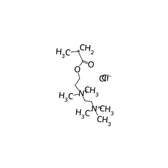 C=C(C)C(=O)OCC[N+](C)(C)CC[N+](C)(C)C.[Cl-].[Cl-]